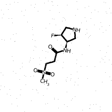 CS(=O)(=O)CCC(=O)N[C@@H]1CNC[C@@H]1F